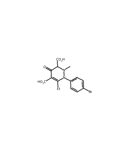 CCC1=C(C(=O)O)C(=O)C(C(=O)O)N(C)N1c1ccc(Br)cc1